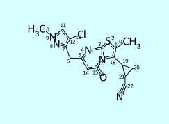 Cc1sc2nc(Cc3nn(C)cc3Cl)cc(=O)n2c1C1CC1C#N